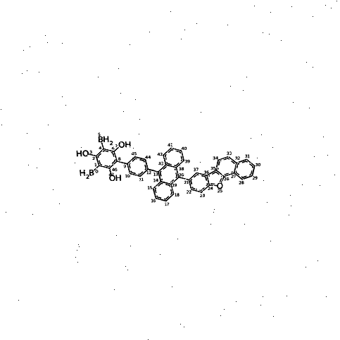 Bc1c(O)c(B)c(O)c(-c2ccc(-c3c4ccccc4c(-c4ccc5oc6c7ccccc7ccc6c5c4)c4ccccc34)cc2)c1O